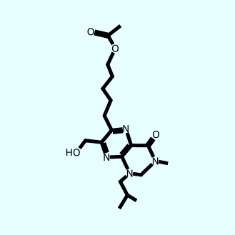 CC(=O)OCCCCCc1nc2c(nc1CO)N(CC(C)C)CN(C)C2=O